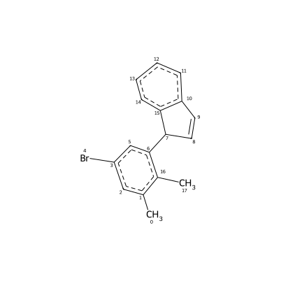 Cc1cc(Br)cc(C2C=Cc3ccccc32)c1C